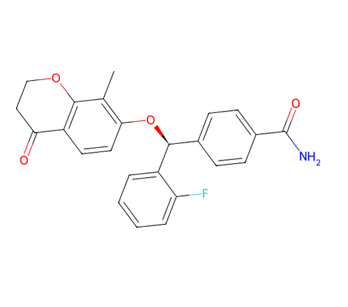 Cc1c(O[C@@H](c2ccc(C(N)=O)cc2)c2ccccc2F)ccc2c1OCCC2=O